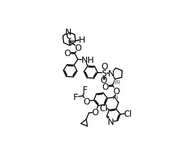 O=C(O[C@H]1CN2CCC1CC2)C(Nc1cccc(S(=O)(=O)N2CCC[C@H]2C(=O)O[C@@H](Cc2c(Cl)cncc2Cl)c2ccc(OC(F)F)c(OCC3CC3)c2)c1)c1ccccc1